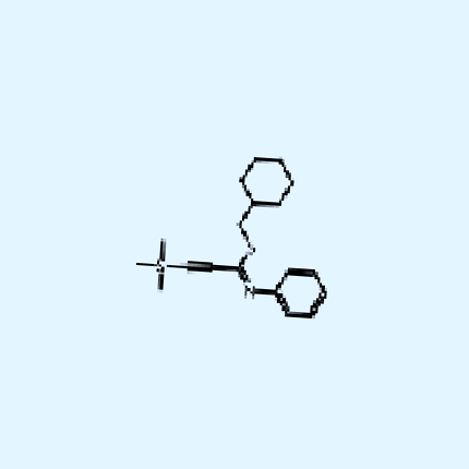 C[Si](C)(C)C#CC(=Nc1ccccc1)SCC1CCCCC1